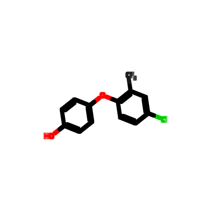 Oc1ccc(Oc2ccc(Cl)cc2C(F)(F)F)cc1